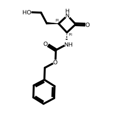 O=C(N[C@H]1C(=O)N[C@@H]1CCO)OCc1ccccc1